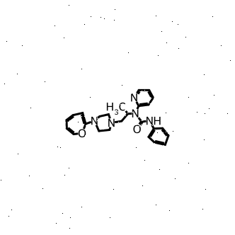 CC(CN1CCN(C2=CC=CC=CO2)CC1)N(C(=O)Nc1ccccc1)c1ccccn1